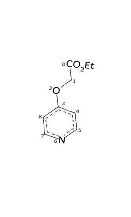 CCOC(=O)COc1ccncc1